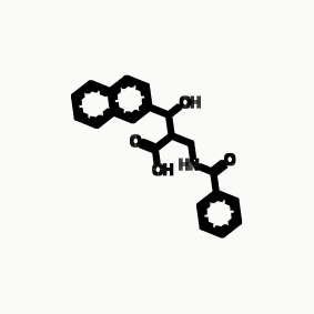 O=C(NCC(C(=O)O)C(O)c1ccc2ccccc2c1)c1ccccc1